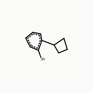 CC(C)c1ccccc1C1CCC1